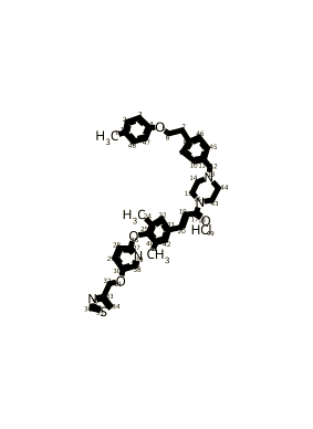 Cc1ccc(OCCc2ccc(CN3CCN(C(=O)/C=C/c4cc(C)c(Oc5ccc(OCc6cscn6)cn5)c(C)c4)CC3)cc2)cc1.Cl